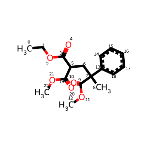 CCOC(=O)C(CC(C)(C(=O)OC)c1ccccc1)C(=O)OC